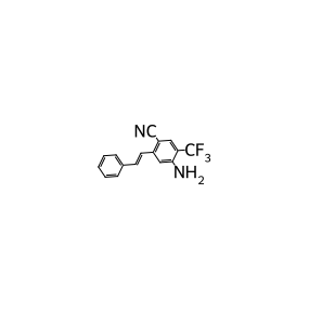 N#Cc1cc(C(F)(F)F)c(N)cc1/C=C/c1ccccc1